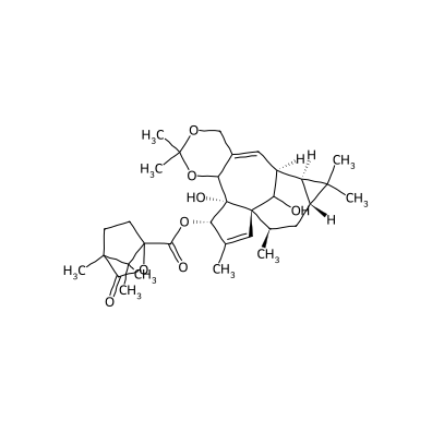 CC1=C[C@]23C(O)[C@@H](C=C4COC(C)(C)OC4[C@]2(O)[C@H]1OC(=O)C12CCC(C)(C(=O)O1)C2(C)C)[C@@H]1[C@@H](C[C@H]3C)C1(C)C